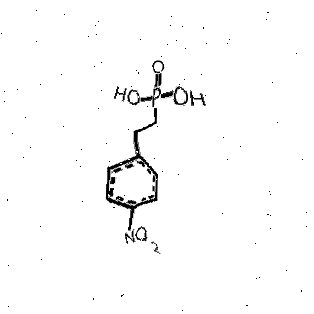 O=[N+]([O-])c1ccc(CCP(=O)(O)O)cc1